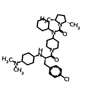 C[C@H]1CC[C@H](C)N1C(=O)N(C1CCCCC1)C1CCN(C(=O)[C@@H](Cc2ccc(Cl)cc2)N[C@H]2CC[C@@H](N(C)C)CC2)CC1